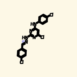 Clc1ccc(/C=N/Nc2nc(Cl)cc(Nc3ccc(Cl)cc3)n2)cc1